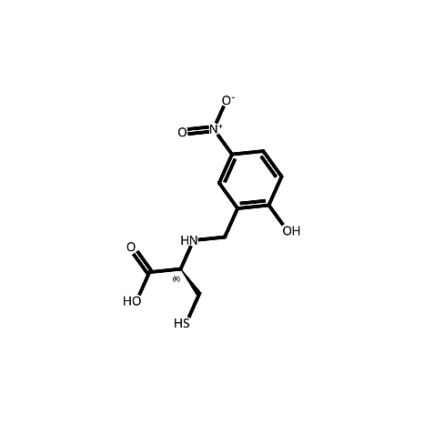 O=C(O)[C@H](CS)NCc1cc([N+](=O)[O-])ccc1O